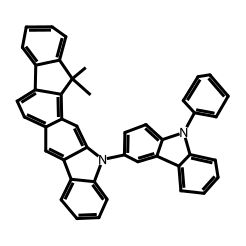 CC1(C)c2ccccc2-c2ccc3cc4c5ccccc5n(-c5ccc6c(c5)c5ccccc5n6-c5ccccc5)c4cc3c21